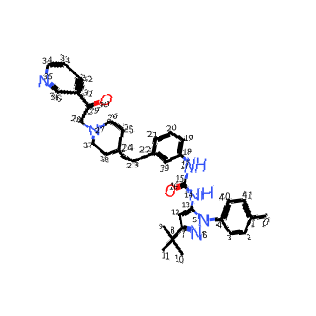 Cc1ccc(-n2nc(C(C)(C)C)cc2NC(=O)Nc2cccc(CC3CCN(CC(=O)c4cccnc4)CC3)c2)cc1